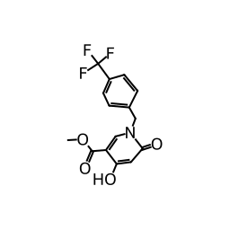 COC(=O)c1cn(Cc2ccc(C(F)(F)F)cc2)c(=O)cc1O